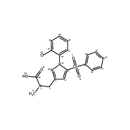 CN(Cc1cc(S(=O)(=O)c2ccncc2)n(-c2ccccc2Cl)n1)C(=O)O